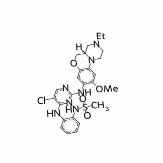 CCN1CCN2c3cc(OC)c(Nc4ncc(Cl)c(Nc5ccccc5NS(C)(=O)=O)n4)cc3OC[C@@H]2C1